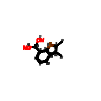 Cc1sc2c(B(O)O)cccc2c1C